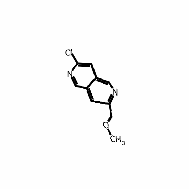 COCc1cc2cnc(Cl)cc2cn1